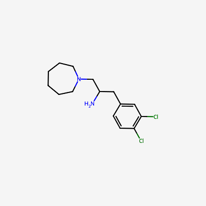 NC(Cc1ccc(Cl)c(Cl)c1)CN1CCCCCC1